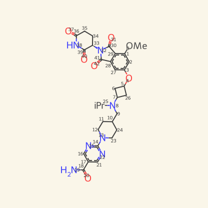 COc1cc(OC2CC(N(CC3CCN(c4ncc(C(N)=O)cn4)CC3)C(C)C)C2)cc2c1C(=O)N([C@@H]1CCC(=O)NC1=O)C2=O